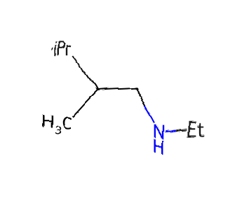 CCNCC(C)[C](C)C